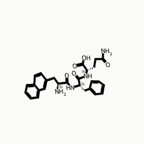 NC(=O)CC[C@H](NC(=O)[C@H](Cc1ccccc1)NC(=O)[C@@H](N)Cc1ccc2ccccc2c1)C(=O)O